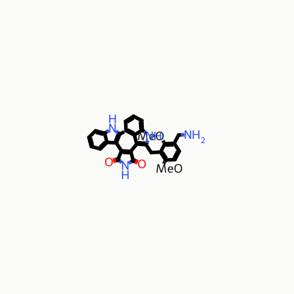 COc1ccc(CN)c(OC)c1Cc1[nH]c2ccccc2c1C1=C(c2c(C)[nH]c3ccccc23)C(=O)NC1=O